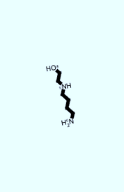 NCCCCNCCO